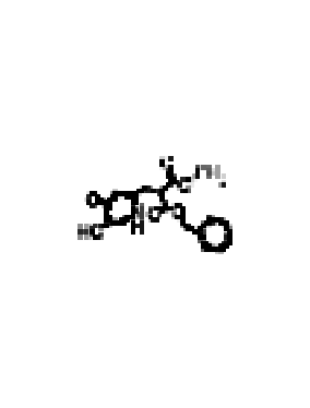 COC(=O)[C@H](Cc1cc(=O)c(O)c[nH]1)C(=O)OCc1ccccc1